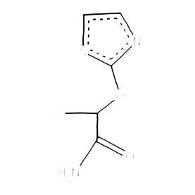 NC(=O)C(Cl)Oc1nccs1